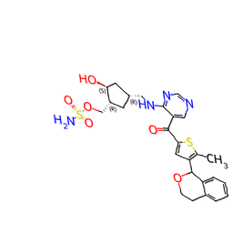 Cc1sc(C(=O)c2cncnc2NC[C@@H]2C[C@H](COS(N)(=O)=O)[C@@H](O)C2)cc1C1OCCc2ccccc21